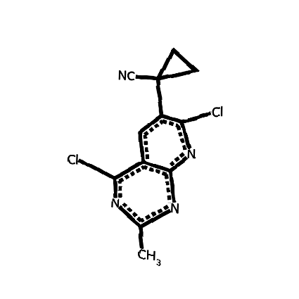 Cc1nc(Cl)c2cc(C3(C#N)CC3)c(Cl)nc2n1